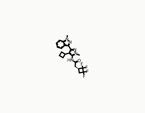 Cn1nc(-c2nn(C)c3ccccc23)c(C2CCC2)c1NC(=O)C[C@@H]1CC(F)(F)C1(F)F